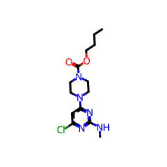 CCCCOC(=O)N1CCN(c2cc(Cl)nc(NC)n2)CC1